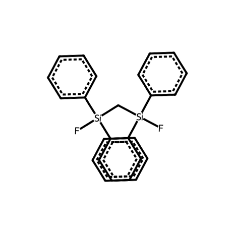 F[Si](C[Si](F)(c1ccccc1)c1ccccc1)(c1ccccc1)c1ccccc1